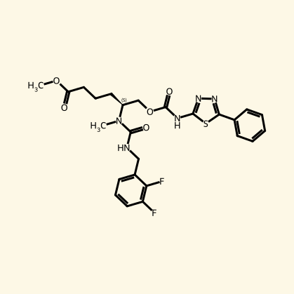 COC(=O)CCC[C@@H](COC(=O)Nc1nnc(-c2ccccc2)s1)N(C)C(=O)NCc1cccc(F)c1F